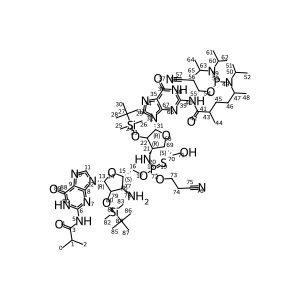 CC(C)C(=O)Nc1nc2c(ncn2[C@@H]2O[C@H](COP(=S)(N[C@H]3C(O[Si](C)(C)C(C)(C)C)[C@H](n4cnc5c(=O)[nH]c(NC(=O)C(C)CCC(C)N(C(C)C)P(OCCC#N)N(C(C)C)C(C)C)nc54)O[C@@H]3CO)OCCC#N)[C@@H](N)C2O[Si](C)(C)C(C)(C)C)c(=O)[nH]1